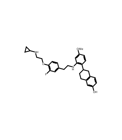 COc1ccc(C2CCc3cc(O)ccc3C2)c(NCCc2ccc(OCCNC3CC3)c(F)c2)c1